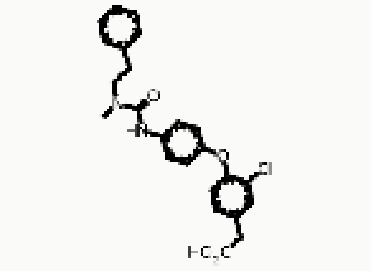 CN(CCc1ccccc1)C(=O)Nc1ccc(Oc2ccc(CC(=O)O)cc2Cl)cc1